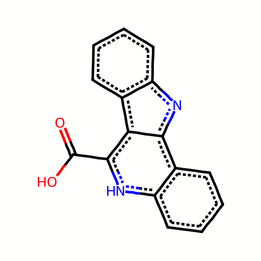 O=C(O)c1[nH]c2ccccc2c2nc3ccccc3c1-2